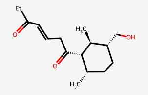 CCC(=O)/C=C/CC(=O)[C@@H]1[C@@H](C)[C@H](CO)CC[C@@H]1C